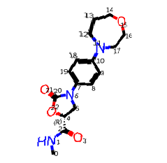 CNC(=O)[C@H]1CN(c2ccc(N3CCCOCC3)cc2)C(=O)O1